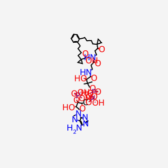 CC(C)(COP(=O)(O)OP(=O)(O)OCC1OC(n2cnc3c(N)ncnc32)C(O)C1OP(=O)(O)O)C(O)C(=O)NCCC(=O)NCCC(=O)C1(CCCCc2ccccc2CCCCC2(C(=O)O)CC2)CC1